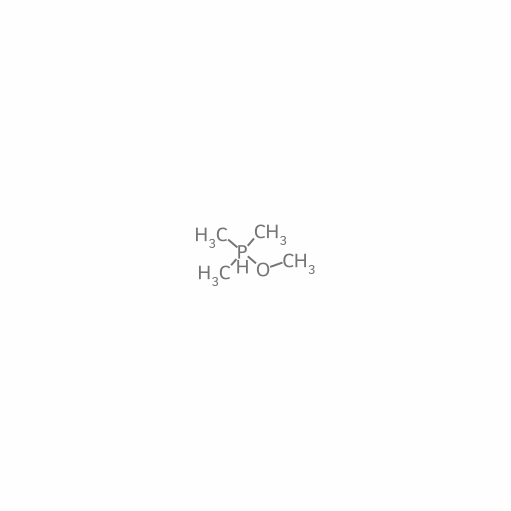 CO[PH](C)(C)C